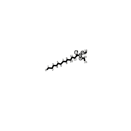 CCCCCCCCCCCCCC(=O)N(OCC)OCC